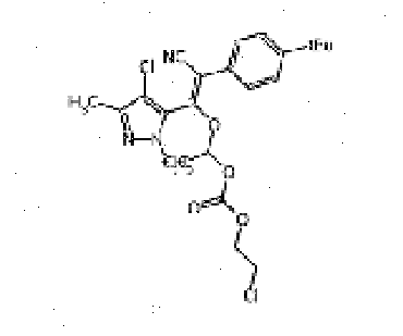 Cc1nn(C)c(/C(OC(C)OC(=O)OCCCl)=C(\C#N)c2ccc(C(C)(C)C)cc2)c1Cl